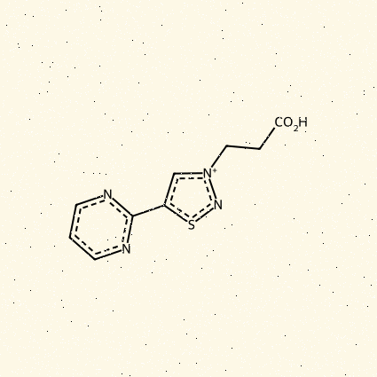 O=C(O)CC[n+]1cc(-c2ncccn2)sn1